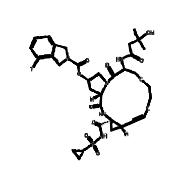 CC(C)(O)CC(=O)N[C@H]1CCCCC/C=C\[C@@H]2C[C@@]2(C(=O)NS(=O)(=O)C2CC2)NC(=O)[C@@H]2C[C@@H](OC(=O)N3Cc4cccc(F)c4C3)CN2C1=O